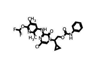 Cc1cc(Nc2nc(Cl)cn(C(COC(=O)Nc3ccccc3)C3CC3)c2=O)c(C)nc1OC(F)F